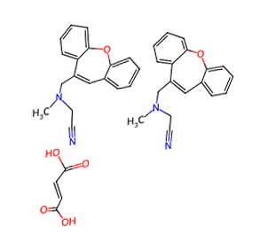 CN(CC#N)CC1=Cc2ccccc2Oc2ccccc21.CN(CC#N)CC1=Cc2ccccc2Oc2ccccc21.O=C(O)C=CC(=O)O